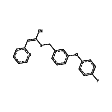 N#CC(=Cc1ccccn1)SCc1cccc(Oc2ccc(F)cc2)c1